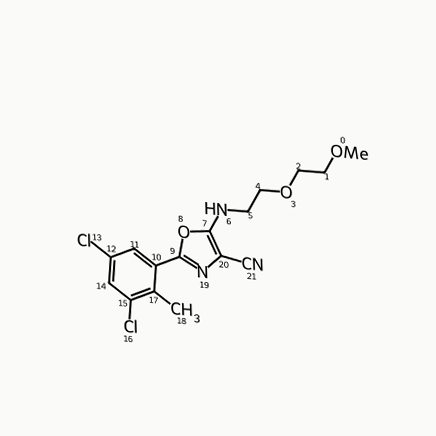 COCCOCCNc1oc(-c2cc(Cl)cc(Cl)c2C)nc1C#N